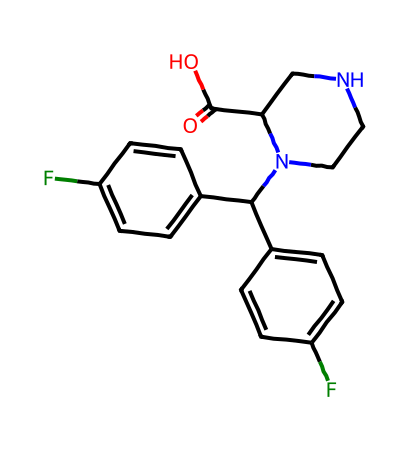 O=C(O)C1CNCCN1C(c1ccc(F)cc1)c1ccc(F)cc1